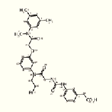 Cc1cc(C)cc(N(C)C(=O)COc2cccc(N(CCC(C)C)C(=O)CNC(=O)Nc3cccc(CC(=O)O)c3)c2)c1